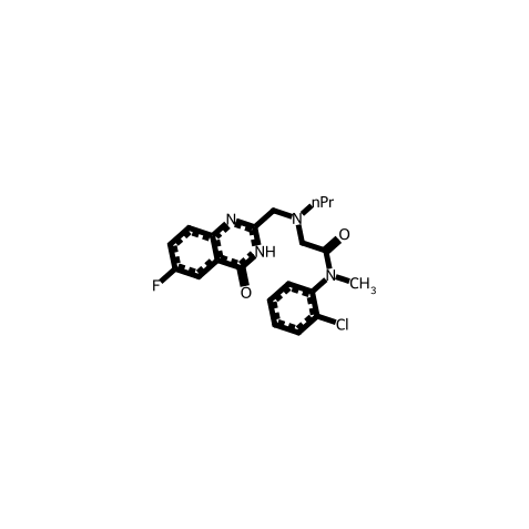 CCCN(CC(=O)N(C)c1ccccc1Cl)Cc1nc2ccc(F)cc2c(=O)[nH]1